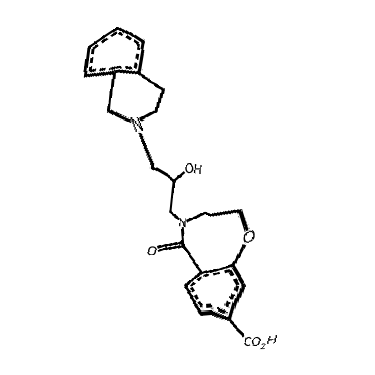 O=C(O)c1ccc2c(c1)OCCN(CC(O)CN1CCc3ccccc3C1)C2=O